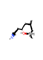 CC(CCCC#N)C[SiH](C)[O]